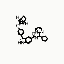 CN1[C@@H]2CC[C@H]1C[C@@H](Oc1ccc(-c3n[nH]c4ccc(C(=O)NC(c5ncccn5)C5CCCC5)cc34)cc1)C2